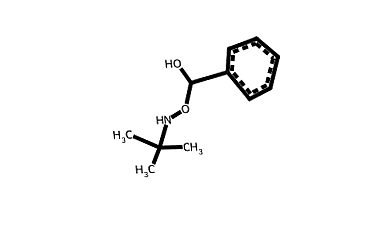 CC(C)(C)NOC(O)c1ccccc1